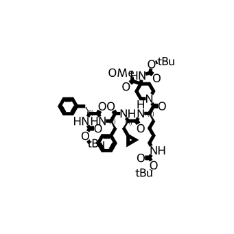 COC(=O)C1(NC(=O)OC(C)(C)C)CCN(C(=O)[C@@H](CCCCNC(=O)OC(C)(C)C)NC(=O)[C@@H](CC2CC2)NC(=O)[C@@H](Cc2ccccc2)NC(=O)[C@@H](Cc2ccccc2)NC(=O)OC(C)(C)C)CC1